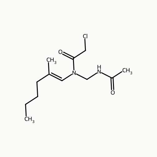 CCCCC(C)=CN(CNC(C)=O)C(=O)CCl